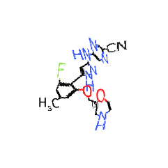 Cc1cc(F)c(-c2cc(Nc3cnc(C#N)cn3)n[nH]2)c(OC[C@@H]2CNCCO2)c1